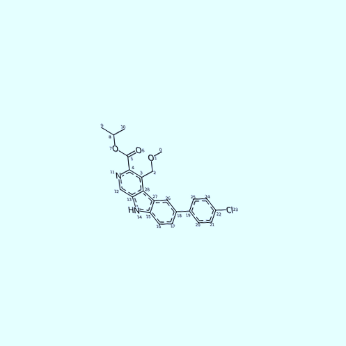 COCc1c(C(=O)OC(C)C)ncc2[nH]c3ccc(-c4ccc(Cl)cc4)cc3c12